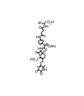 CO/N=C(\C(=O)N[C@@H]1C(=O)N2C(C(=O)O)=C(CSc3nc(=O)c(=O)[nH]n3C)CS[C@H]12)c1nsc(NC(=O)CCC(=O)NC(C(=O)O)C(C)C)n1